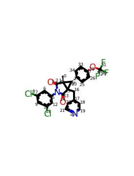 C[C@]12C(=O)N(c3cc(Cl)cc(Cl)c3)C(=O)C1(Cc1ccncc1)[C@H]2c1ccc(OC(F)(F)F)cc1